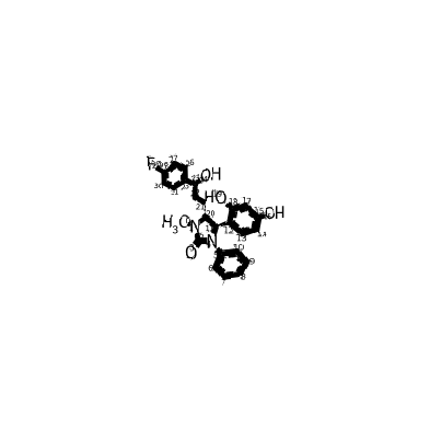 CN1C(=O)N(c2ccccc2)[C@H](c2ccc(O)cc2O)[C@H]1CCC(O)c1ccc(F)cc1